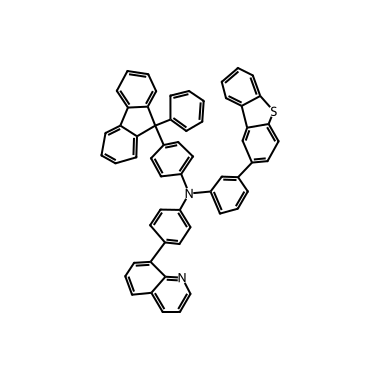 c1ccc(C2(c3ccc(N(c4ccc(-c5cccc6cccnc56)cc4)c4cccc(-c5ccc6sc7ccccc7c6c5)c4)cc3)c3ccccc3-c3ccccc32)cc1